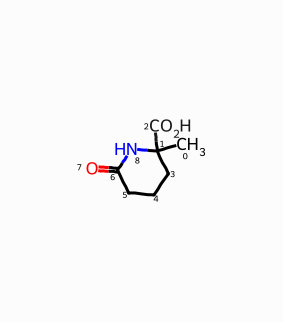 CC1(C(=O)O)CCCC(=O)N1